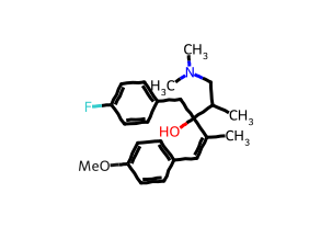 COc1ccc(C=C(C)C(O)(Cc2ccc(F)cc2)C(C)CN(C)C)cc1